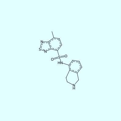 Cc1ccc(S(=O)(=O)Nc2cccc3c2CCNC3)c2nsnc12